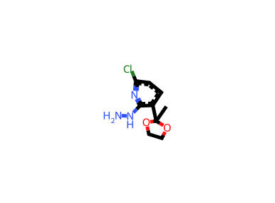 CC1(c2ccc(Cl)nc2NN)OCCO1